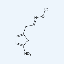 CCON=CCc1ccc([N+](=O)[O-])s1